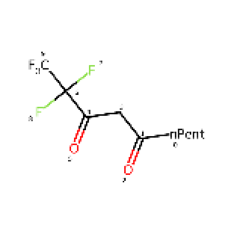 CCCCCC(=O)CC(=O)C(F)(F)C(F)(F)F